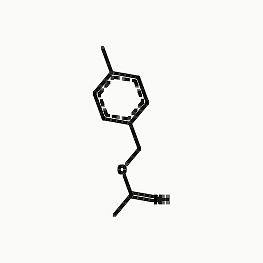 CC(=N)OCc1ccc(C)cc1